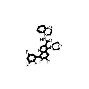 O=C(NN1CCOc2ccccc21)c1cnc2c(-c3cc(F)cc(F)c3F)c(F)c(F)cc2c1N1CCOCC1